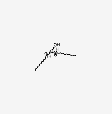 CCCCCCCCCCCCNC(=O)CCN(CCCCO)CCC(=O)NCCCCCCCCCCCC